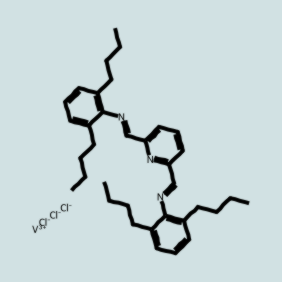 CCCCc1cccc(CCCC)c1N=Cc1cccc(C=Nc2c(CCCC)cccc2CCCC)n1.[Cl-].[Cl-].[Cl-].[V+3]